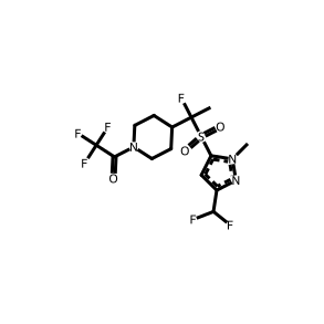 Cn1nc(C(F)F)cc1S(=O)(=O)C(C)(F)C1CCN(C(=O)C(F)(F)F)CC1